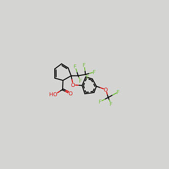 O=C(O)C1C=CC=CC1(Oc1ccc(OC(F)(F)F)cc1)C(F)(F)C(F)(F)F